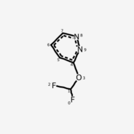 FC(F)Oc1cccnn1